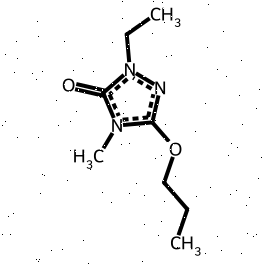 CCCOc1nn(CC)c(=O)n1C